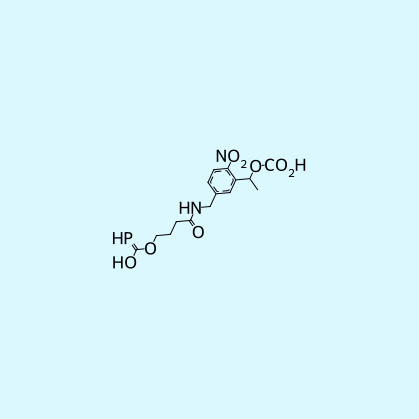 CC(OC(=O)O)c1cc(CNC(=O)CCCOC(O)=P)ccc1[N+](=O)[O-]